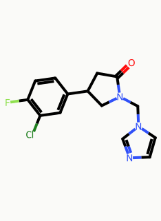 O=C1CC(c2ccc(F)c(Cl)c2)CN1Cn1ccnc1